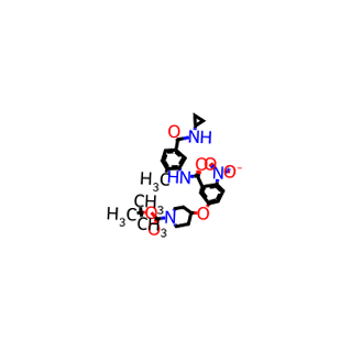 Cc1ccc(C(=O)NC2CC2)cc1NC(=O)c1cc(OC2CCN(C(=O)OC(C)(C)C)CC2)ccc1[N+](=O)[O-]